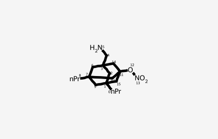 CCCC12CC3(CN)CC(CCC)(C1)CC(O[N+](=O)[O-])(C3)C2